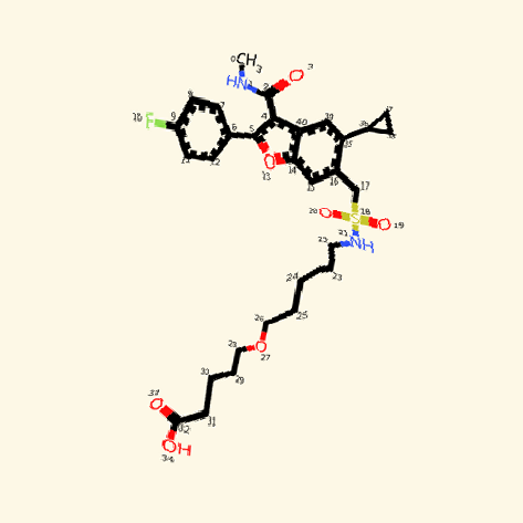 CNC(=O)c1c(-c2ccc(F)cc2)oc2cc(CS(=O)(=O)NCCCCCOCCCCC(=O)O)c(C3CC3)cc12